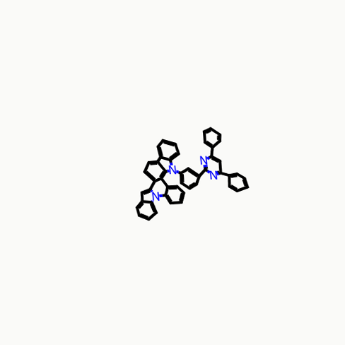 c1ccc(-c2cc(-c3ccccc3)nc(-c3cccc(-n4c5ccccc5c5ccc6c(c7ccccc7n7c8ccccc8cc67)c54)c3)n2)cc1